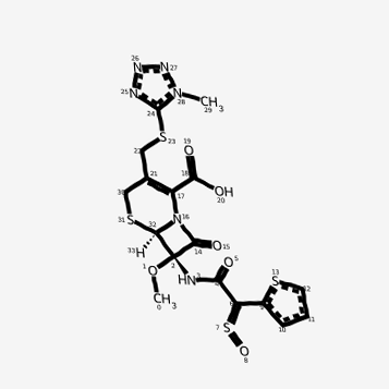 CO[C@@]1(NC(=O)C(=S=O)c2cccs2)C(=O)N2C(C(=O)O)=C(CSc3nnnn3C)CS[C@@H]21